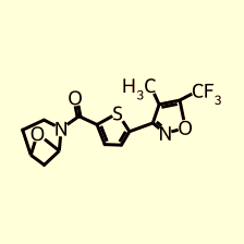 Cc1c(-c2ccc(C(=O)N3CCC4CC3O4)s2)noc1C(F)(F)F